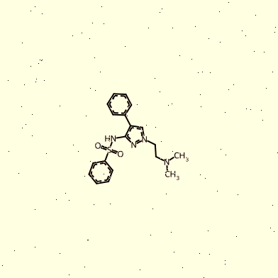 CN(C)CCn1cc(-c2ccccc2)c(NS(=O)(=O)c2ccccc2)n1